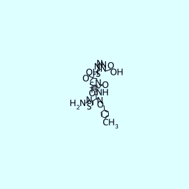 Cc1ccc(CON=C(C(=O)NC2C(=O)N3CC(CSc4nnnn4CC(=O)O)(C(=O)O)CS[C@H]23)c2csc(N)n2)cc1